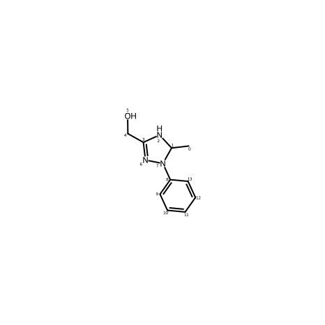 CC1NC(CO)=NN1c1ccccc1